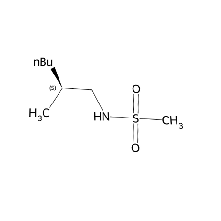 CCCC[C@H](C)CNS(C)(=O)=O